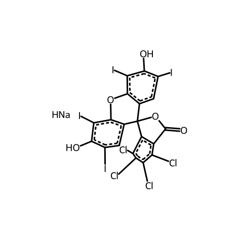 O=C1OC2(c3cc(I)c(O)c(I)c3Oc3c2cc(I)c(O)c3I)c2c(Cl)c(Cl)c(Cl)c(Cl)c21.[NaH]